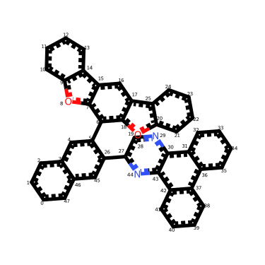 c1ccc2cc(-c3c4oc5ccccc5c4cc4c3oc3ccccc34)c(-c3cnc4c5ccccc5c5ccccc5c4n3)cc2c1